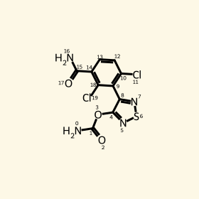 NC(=O)Oc1nsnc1-c1c(Cl)ccc(C(N)=O)c1Cl